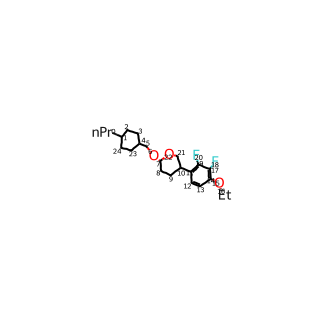 CCCC1CCC(COC2CCC(c3ccc(OCC)c(F)c3F)CO2)CC1